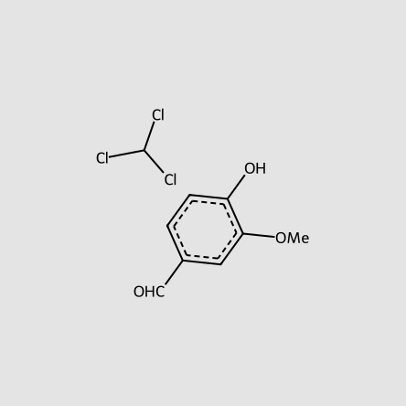 COc1cc(C=O)ccc1O.ClC(Cl)Cl